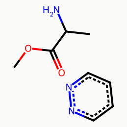 COC(=O)C(C)N.c1ccnnc1